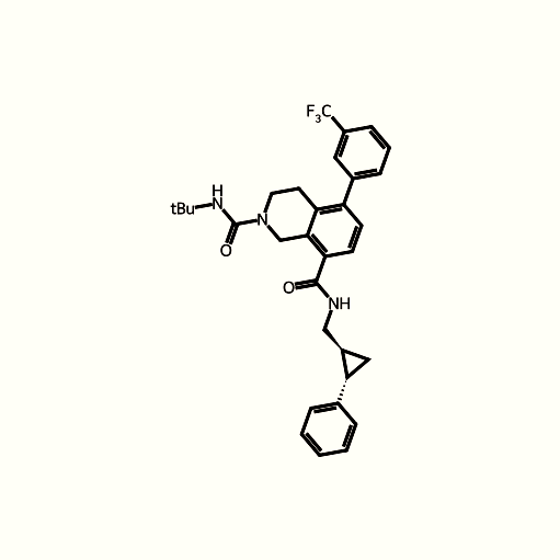 CC(C)(C)NC(=O)N1CCc2c(-c3cccc(C(F)(F)F)c3)ccc(C(=O)NC[C@H]3C[C@@H]3c3ccccc3)c2C1